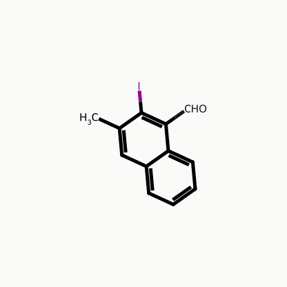 Cc1cc2ccccc2c(C=O)c1I